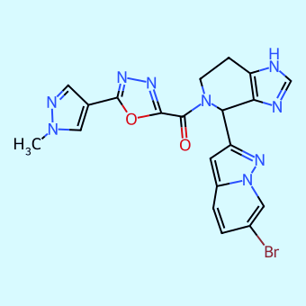 Cn1cc(-c2nnc(C(=O)N3CCc4[nH]cnc4C3c3cc4ccc(Br)cn4n3)o2)cn1